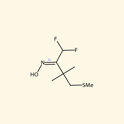 CSCC(C)(C)/C(=N\O)C(F)F